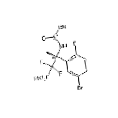 CCOC(=O)C(F)(F)[C@](C)(N[S+]([O-])C(C)(C)C)c1cc(Br)ccc1F